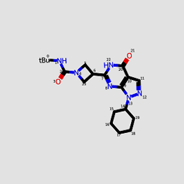 CC(C)(C)NC(=O)N1CC(c2nc3c(cnn3C3CCCCC3)c(=O)[nH]2)C1